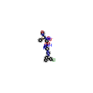 O=[N+]([O-])c1cc(S(=O)(=O)Nc2ncnc3cc(N4CCN(Cc5ccc6ccccc6c5-c5ccc(Cl)cc5)CC4)ccc23)ccc1NC(CCN1CCOCC1)CSc1ccccc1